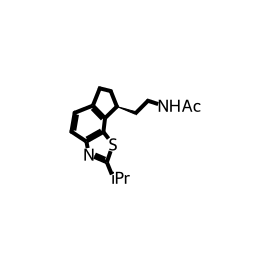 CC(=O)NCC[C@@H]1CCc2ccc3nc(C(C)C)sc3c21